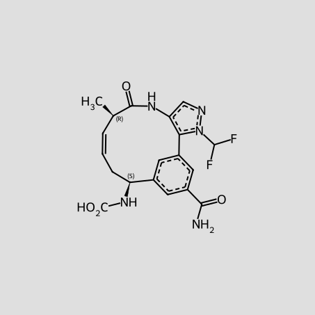 C[C@@H]1C=CC[C@H](NC(=O)O)c2cc(C(N)=O)cc(c2)-c2c(cnn2C(F)F)NC1=O